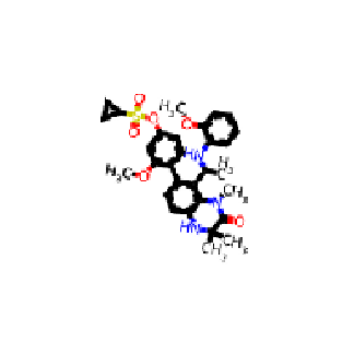 COc1ccccc1NC(C)c1c(-c2ccc(OS(=O)(=O)C3CC3)cc2OC)ccc2c1N(C)C(=O)C(C)(C)N2